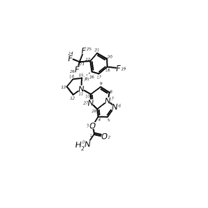 NC(=O)Oc1cnn2ccc(N3CCC[C@@H]3c3cc(F)ccc3C(F)(F)F)nc12